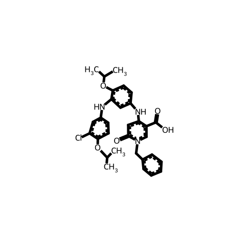 CC(C)Oc1ccc(Nc2cc(Nc3cc(=O)n(Cc4ccccc4)cc3C(=O)O)ccc2OC(C)C)cc1Cl